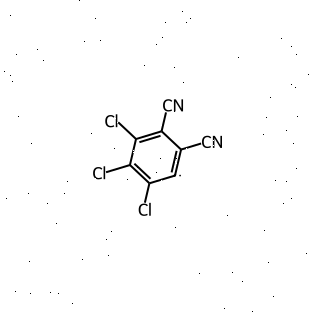 N#Cc1[c]c(Cl)c(Cl)c(Cl)c1C#N